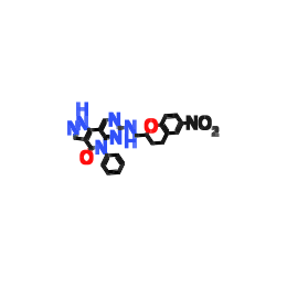 O=c1c2cn[nH]c2c2cnc(NCC3CCc4cc([N+](=O)[O-])ccc4O3)nc2n1-c1ccccc1